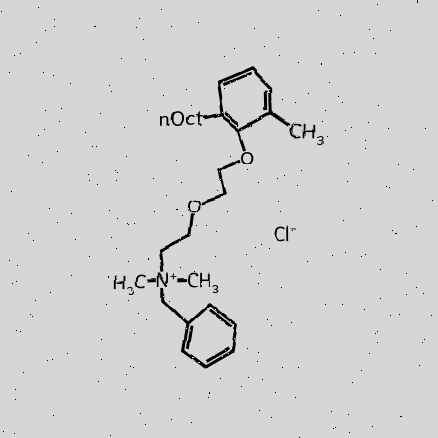 CCCCCCCCc1cccc(C)c1OCCOCC[N+](C)(C)Cc1ccccc1.[Cl-]